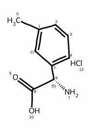 Cc1cccc([C@H](N)C(=O)O)c1.Cl